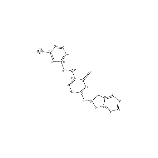 O=c1cc(CN2Cc3ccccc3C2)occ1OCc1cccc([N+](=O)[O-])c1